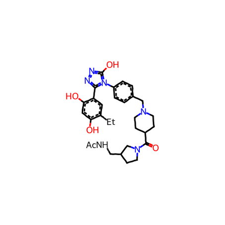 CCc1cc(-c2nnc(O)n2-c2ccc(CN3CCC(C(=O)N4CCC(CNC(C)=O)C4)CC3)cc2)c(O)cc1O